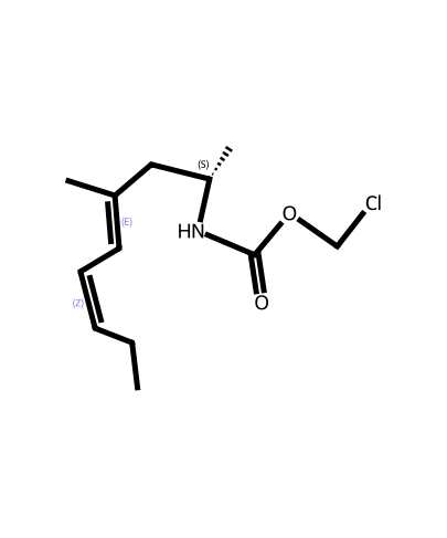 CC/C=C\C=C(/C)C[C@H](C)NC(=O)OCCl